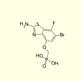 Nc1nc2c(OCP(=O)(O)O)cc(Br)c(F)c2s1